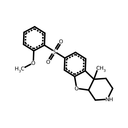 COc1ccccc1S(=O)(=O)c1ccc2c(c1)OC1CNCCC21C